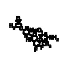 COC[C@]12C[C@H]1[C@](C)(c1cc(NC(=O)c3cnc(OCC4(C)COC4)cn3)cc(F)c1F)N=C(N)S2